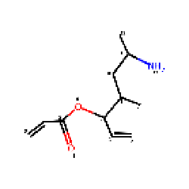 C=CC(=O)OC(C=C)C(C)CC(C)N